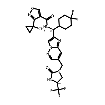 CC1(c2nocc2C(=O)N[C@H](c2cn3ncc(CN4C[C@@H](C(F)(F)F)NC4=O)cc3n2)C2CCC(F)(F)CC2)CC1